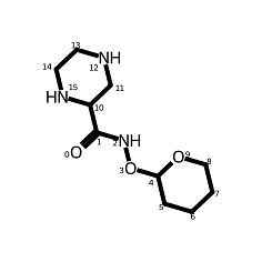 O=C(NOC1CCCCO1)C1CNCCN1